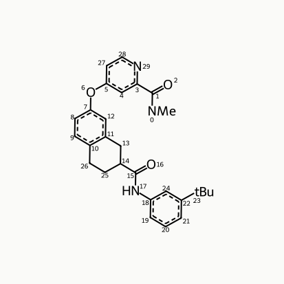 CNC(=O)c1cc(Oc2ccc3c(c2)CC(C(=O)Nc2cccc(C(C)(C)C)c2)CC3)ccn1